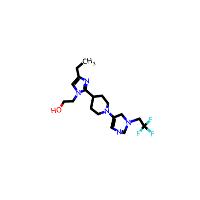 CCc1cn(CCO)c(C2CCN(C3=CN=CN(CC(F)(F)F)C3)CC2)n1